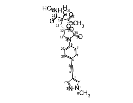 Cn1cc(C#Cc2ccc(N3C[C@H](C[C@](C)(C(=O)NO)S(C)(=O)=O)OC3=O)cc2)cn1